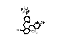 Cc1ccc(O)c(Cc2ccccc2)c1Cc1ccccc1.S.[F][Sb-]([F])([F])([F])([F])[F].[H+]